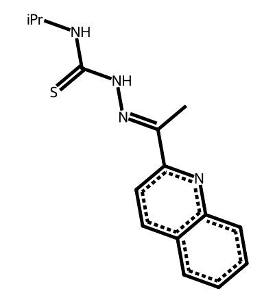 CC(=NNC(=S)NC(C)C)c1ccc2ccccc2n1